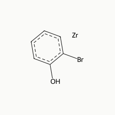 Oc1ccccc1Br.[Zr]